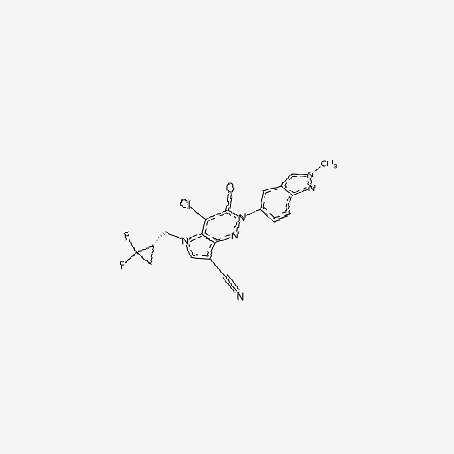 Cn1cc2cc(-n3nc4c(C#N)cn(C[C@@H]5CC5(F)F)c4c(Cl)c3=O)ccc2n1